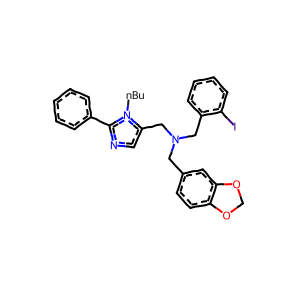 CCCCn1c(CN(Cc2ccc3c(c2)OCO3)Cc2ccccc2I)cnc1-c1ccccc1